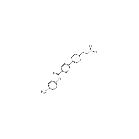 CCC(CC)CCC1CC=C(c2ccc(C(=O)Oc3ccc(C)cc3)cc2)CC1